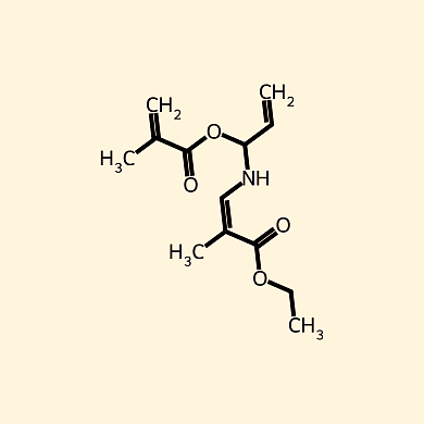 C=CC(NC=C(C)C(=O)OCC)OC(=O)C(=C)C